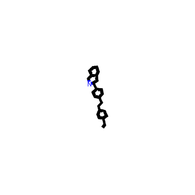 C=Cc1ccc(CCc2ccc(-c3cc4ccccc4cn3)cc2)cc1